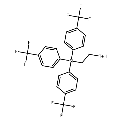 FC(F)(F)c1ccc([Si](CC[TeH])(c2ccc(C(F)(F)F)cc2)c2ccc(C(F)(F)F)cc2)cc1